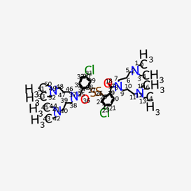 CCN(CC)CCCN(CCCN(CC)CC)C(=O)c1ccc(Cl)cc1SSc1cc(Cl)ccc1C(=O)N(CCCN(CC)CC)CCCN(CC)CC